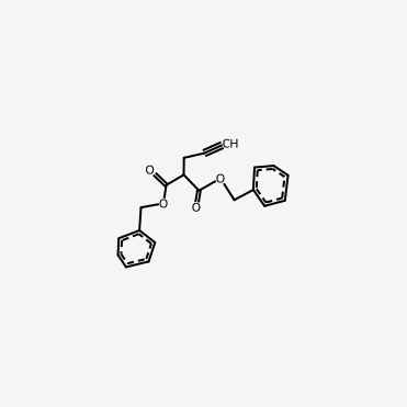 C#CCC(C(=O)OCc1ccccc1)C(=O)OCc1ccccc1